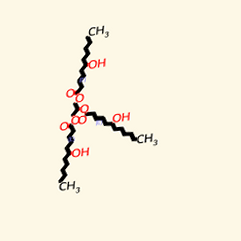 CCCCCCC(O)C/C=C/CC(=O)OCC(COC(=O)C/C=C/CC(O)CCCCCC)OC(=O)C/C=C/CC(O)CCCCCC